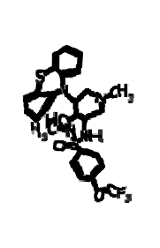 CN=S(=O)(NC1CN(C)CC(N2c3ccccc3Sc3ccccc32)C1O)c1ccc(OC(F)(F)F)cc1